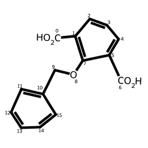 O=C(O)c1cccc(C(=O)O)c1OCc1ccccc1